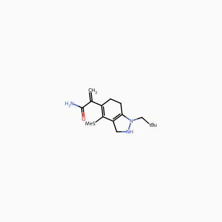 C=C(C(N)=O)C1=C(SC)C2=C(CC1)N(CC(C)(C)C)NC2